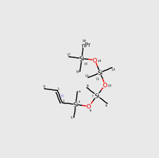 C/C=C/[Si](C)(C)O[Si](C)(C)O[Si](C)(C)O[Si](C)(C)CCC